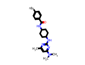 CCCCc1ccc(C(=O)NC2CCC(Nc3nc(C)cc(N(C)C)n3)CC2)cc1